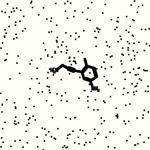 Cc1ccc(N)cc1C#CCN